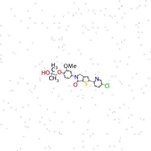 COc1cc(N2Cc3cc(-c4ccc(Cl)cn4)sc3C2=O)ccc1OCC(C)(C)O